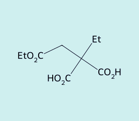 CCOC(=O)CC(CC)(C(=O)O)C(=O)O